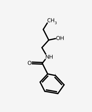 CCC(O)CNC(=O)c1[c]cccc1